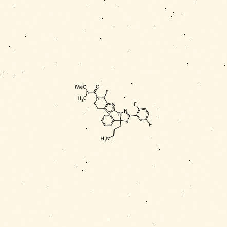 CON(C)C(=O)N1CCc2sc(N3N=C(c4cc(F)ccc4F)SC3(CCCN)c3ccccc3)nc2C1F